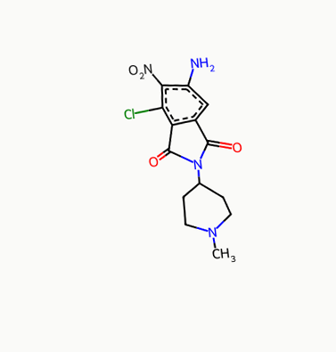 CN1CCC(N2C(=O)c3cc(N)c([N+](=O)[O-])c(Cl)c3C2=O)CC1